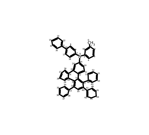 Cc1cccc(N(c2ccc(-c3ccccc3)cc2)c2ccc3c(c2)c2ccccc2c2c(-c4ccccc4)cc(C4=CCCC=C4)c(-c4ccccc4)c32)c1